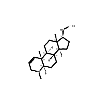 CN1CC=C[C@]2(C)[C@H]3CC[C@]4(C)[C@@H](NC=O)CC[C@H]4[C@@H]3CC[C@@H]12